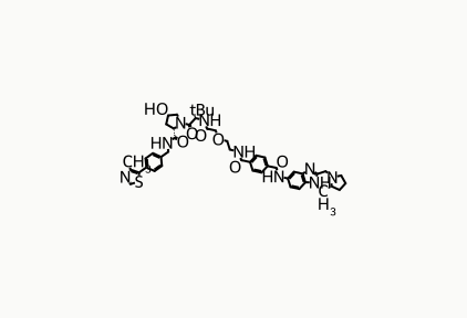 Cc1ncsc1-c1ccc(CNC(=O)[C@@H]2C[C@@H](O)CN2C(=O)[C@@H](NC(=O)COCCNC(=O)c2ccc(C(=O)Nc3ccc4[nH]c(CN5CCC[C@@H]5C)nc4c3)cc2)C(C)(C)C)cc1